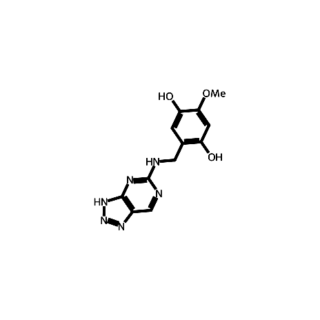 COc1cc(O)c(CNc2ncc3nn[nH]c3n2)cc1O